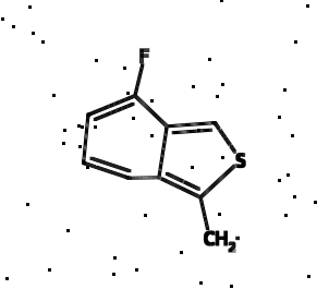 [CH2]c1scc2c(F)cccc12